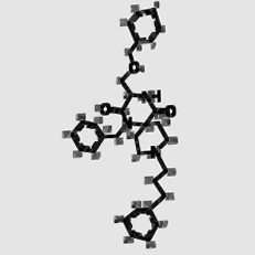 O=C1C(COCc2ccccc2)NC(=O)C2(CCN(CCCc3ccccc3)CC2)N1Cc1ccccc1